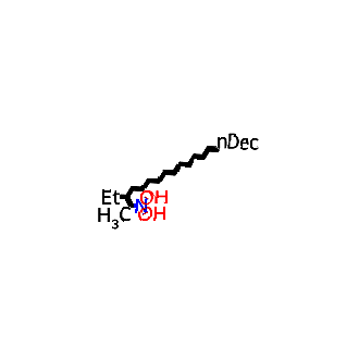 CCCCCCCCCCCCCCCCCCCCCCC(CC)C(C)N(O)O